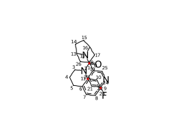 O=C(N1CCCc2ccccc21)N1C2CCC1CC(c1ccc(F)nc1)C2